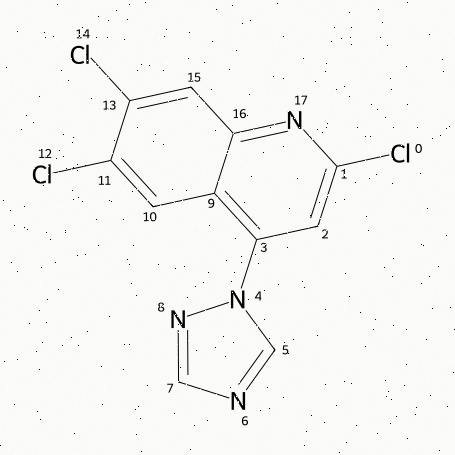 Clc1cc(-n2cncn2)c2cc(Cl)c(Cl)cc2n1